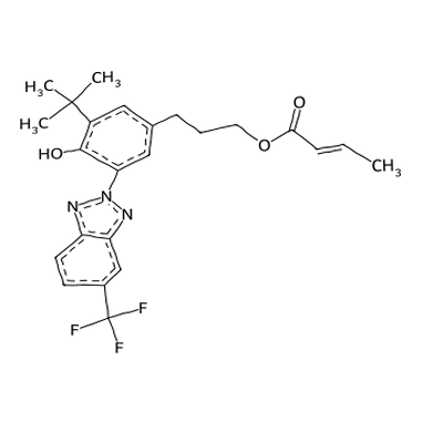 CC=CC(=O)OCCCc1cc(-n2nc3ccc(C(F)(F)F)cc3n2)c(O)c(C(C)(C)C)c1